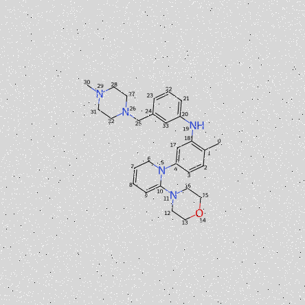 Cc1ccc(N2CC=CC=C2N2CCOCC2)cc1Nc1cccc(CN2CCN(C)CC2)c1